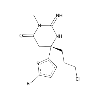 CN1C(=N)N[C@](CCCCl)(c2ccc(Br)s2)CC1=O